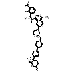 Cc1nnc(N[C@H](C)c2cccc(C(F)F)c2F)c2cc(N3CCO[C@H](CN4CCC(c5ccc([C@@]6(C)CCC(=O)NC6=O)cc5)CC4)C3)ncc12